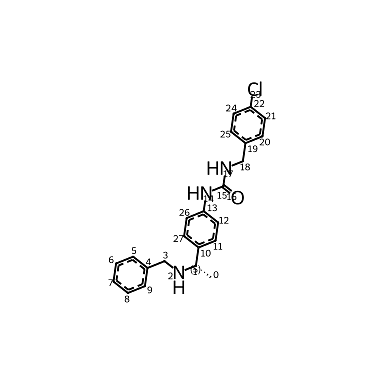 C[C@H](NCc1ccccc1)c1ccc(NC(=O)NCc2ccc(Cl)cc2)cc1